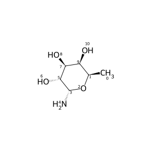 C[C@H]1O[C@H](N)[C@H](O)[C@@H](O)[C@H]1O